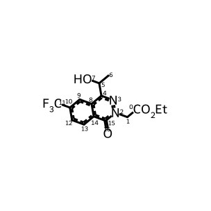 CCOC(=O)Cn1nc(C(C)O)c2cc(C(F)(F)F)ccc2c1=O